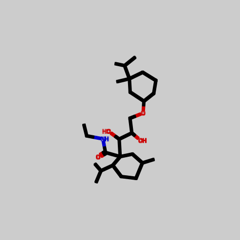 CCNC(=O)C1(C(O)C(O)COC2CCCC(C)(C(C)C)C2)CC(C)CCC1C(C)C